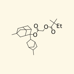 CCC(C)(C)C(=O)OCC(=O)OC1(C2CC3CC2CC3C)C2CC3CC1CC(C)(C3)C2